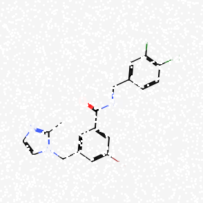 Cc1nccn1Cc1cc(Br)cc(C(=O)NCc2ccc(Cl)c(Cl)c2)c1